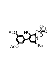 CC(=O)Oc1cc(OC(C)=O)cc(-c2cc(C(C)(C)C)nc(OS(=O)(=O)C(F)(F)F)c2C#N)c1